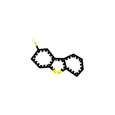 [S]c1ccc2sc3cc[c]cc3c2c1